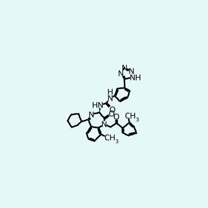 Cc1ccccc1C(=O)CN1C(=O)[C@H](NC(=O)Nc2cccc(-c3nnn[nH]3)c2)N=C(C2CCCCC2)c2cccc(C)c21